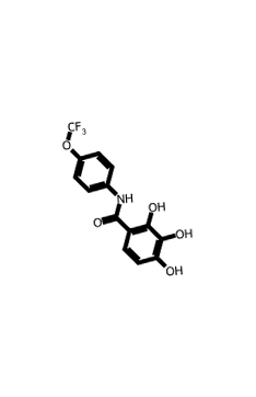 O=C(Nc1ccc(OC(F)(F)F)cc1)c1ccc(O)c(O)c1O